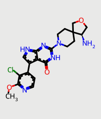 COc1nccc(-c2c[nH]c3nc(N4CCC5(CC4)COC[C@H]5N)[nH]c(=O)c23)c1Cl